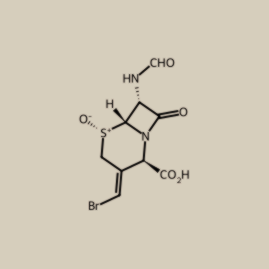 O=CN[C@@H]1C(=O)N2[C@@H](C(=O)O)C(=CBr)C[S@+]([O-])[C@H]12